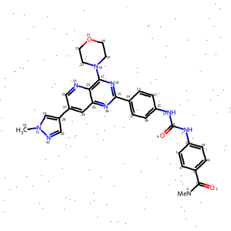 CNC(=O)c1ccc(NC(=O)Nc2ccc(-c3nc(N4CCOCC4)c4ncc(-c5cnn(C)c5)cc4n3)cc2)cc1